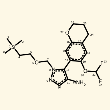 C[Si](C)(C)CCOCn1ncc(N)c1-c1cc2c(cc1OC(F)F)CCCO2